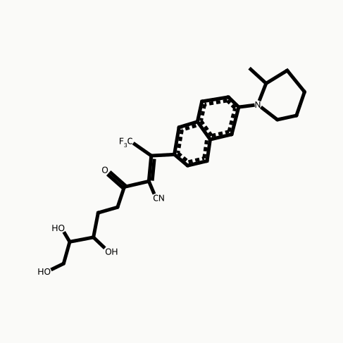 CC1CCCCN1c1ccc2cc(/C(=C(\C#N)C(=O)CCC(O)C(O)CO)C(F)(F)F)ccc2c1